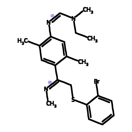 CCN(C)/C=N\c1cc(C)c(/C(CSc2ccccc2Br)=N/C)cc1C